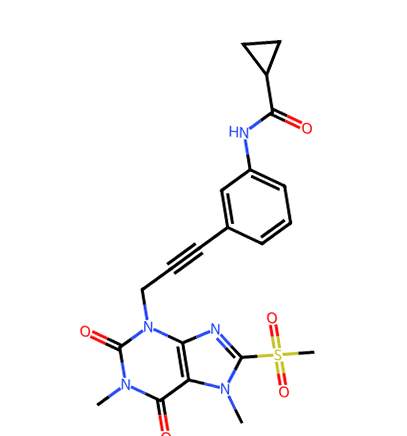 Cn1c(=O)c2c(nc(S(C)(=O)=O)n2C)n(CC#Cc2cccc(NC(=O)C3CC3)c2)c1=O